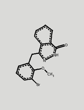 COc1c(Br)cccc1Cc1n[nH]c(=O)c2ccccc12